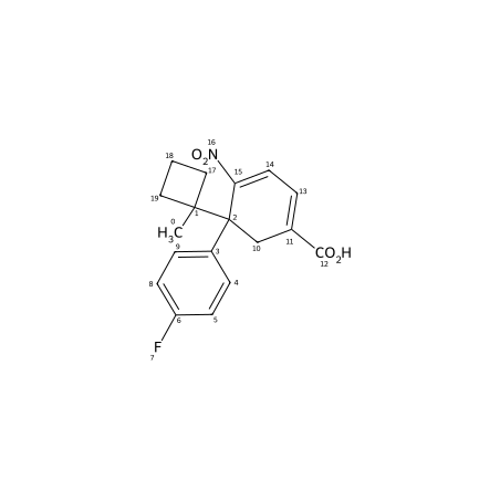 CC1(C2(c3ccc(F)cc3)CC(C(=O)O)=CC=C2[N+](=O)[O-])CCC1